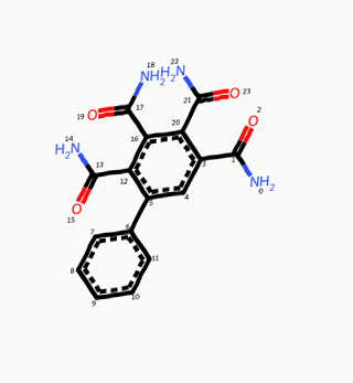 NC(=O)c1cc(-c2ccccc2)c(C(N)=O)c(C(N)=O)c1C(N)=O